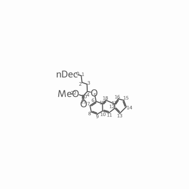 CCCCCCCCCCCCCC(Oc1cccc2cc3ccccc3cc12)C(=O)OC